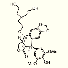 COc1cc([C@@H]2c3cc4c(cc3[C@@H](OCCN(CCO)CCO)[C@H]3COC(=O)[C@H]23)OCO4)cc(OC)c1O